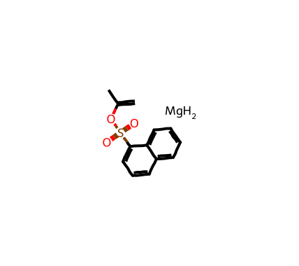 C=C(C)OS(=O)(=O)c1cccc2ccccc12.[MgH2]